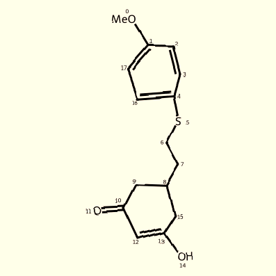 COc1ccc(SCCC2CC(=O)C=C(O)C2)cc1